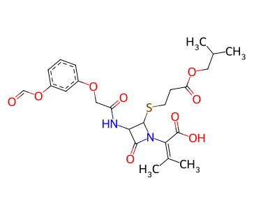 CC(C)=C(C(=O)O)N1C(=O)C(NC(=O)COc2cccc(OC=O)c2)C1SCCC(=O)OCC(C)C